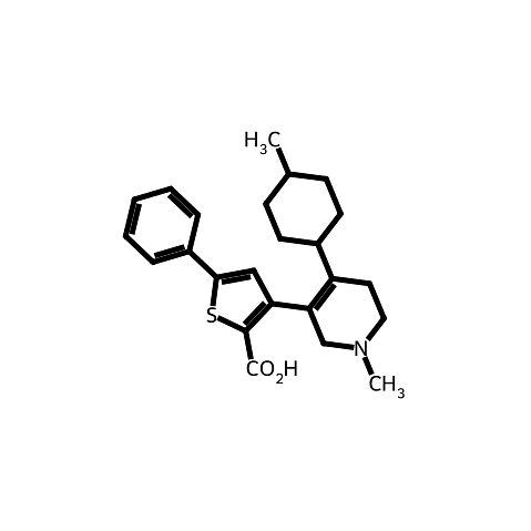 CC1CCC(C2=C(c3cc(-c4ccccc4)sc3C(=O)O)CN(C)CC2)CC1